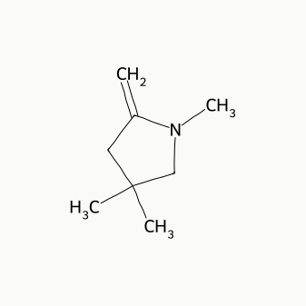 C=C1CC(C)(C)CN1C